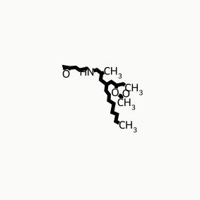 CCCCCCCCC(CC(C)CNCCCC1CO1)CC(CC)OC(C)=O